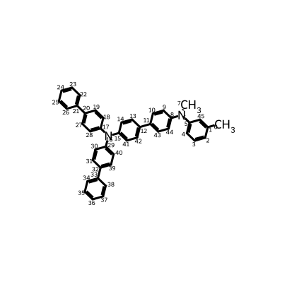 Cc1cccc(N(C)c2ccc(-c3ccc(N(c4ccc(-c5ccccc5)cc4)c4ccc(-c5ccccc5)cc4)cc3)cc2)c1